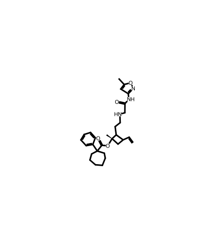 C=CC1C[C@](C)(OC(=O)C2(c3ccccc3)CCCCCC2)C1CCNCC(=O)Nc1cc(C)on1